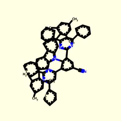 Cc1cc(C)c(-c2ccc3c4ccc(-c5c(C)cc(C)cc5C)cc4n(-c4c(-c5cc(-c6ccccc6)nc(-c6ccccc6)n5)cc(C#N)cc4-c4nc(-c5ccccc5)cc(-c5ccccc5)n4)c3c2)c(C)c1